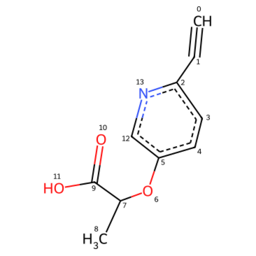 C#Cc1ccc(OC(C)C(=O)O)cn1